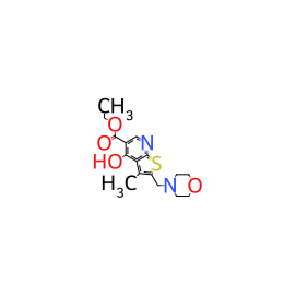 CCOC(=O)c1cnc2sc(CN3CCOCC3)c(C)c2c1O